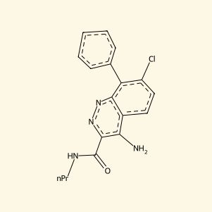 CCCNC(=O)c1nnc2c(-c3ccccc3)c(Cl)ccc2c1N